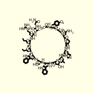 CCCC[C@H]1C(=O)N(C)[C@@H](CCCC)C(=O)N[C@@H](CCCNC(=N)N)C(=O)N[C@H](C(=O)NCC(N)=O)CSCC(=O)N[C@@H](Cc2ccc(OC)cc2)C(=O)N(C)[C@@H](C)C(=O)N[C@@H](CC(N)=O)C(=O)N2CCC[C@H]2C(=O)N[C@@H](Cc2cnc[nH]2)C(=O)N[C@@H](CC(C)C)C(=O)N2C[C@H](O)CC2C(=O)N[C@@H](Cc2c[nH]c3ccccc23)C(=O)N[C@@H](CO)C(=O)N[C@@H](Cc2c[nH]c3ccccc23)C(=O)N1C